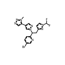 Cn1nncc1-c1cnn(C(Cc2ccn(C(F)F)n2)c2ccc(Br)cn2)c1